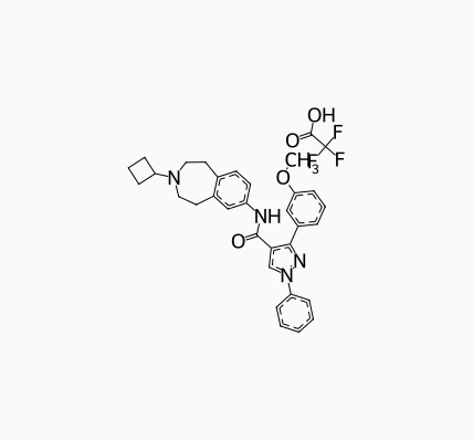 COc1cccc(-c2nn(-c3ccccc3)cc2C(=O)Nc2ccc3c(c2)CCN(C2CCC2)CC3)c1.O=C(O)C(F)(F)F